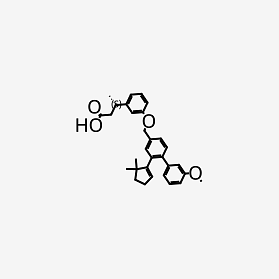 COc1cccc(-c2ccc(COc3cccc([C@@H](C)CC(=O)O)c3)cc2C2=CCCC2(C)C)c1